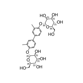 Cc1cc(-c2ccc(O[C@H]3O[C@H](CO)[C@@H](O)[C@H](O)[C@@H]3O)c(C)c2)ccc1O[C@H]1O[C@H](CO)[C@@H](O)[C@H](O)[C@@H]1O